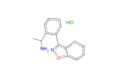 CC(N)c1ccccc1-c1noc2ccccc12.Cl